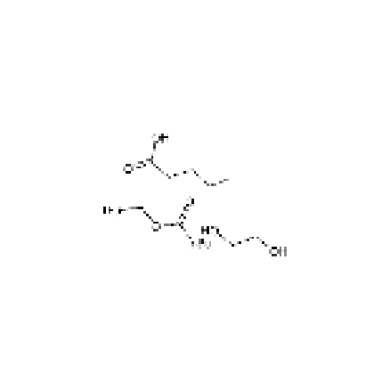 CCCCC(=O)O.CCCCC(=O)OCC(C)(C)C.OCCO